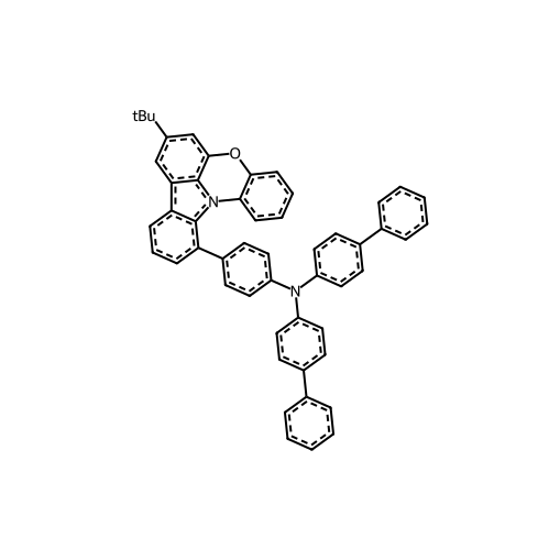 CC(C)(C)c1cc2c3c(c1)c1cccc(-c4ccc(N(c5ccc(-c6ccccc6)cc5)c5ccc(-c6ccccc6)cc5)cc4)c1n3-c1ccccc1O2